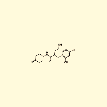 O=C1CCC(NC(=O)C(CCO)Cc2ccc(O)cc2O)CC1